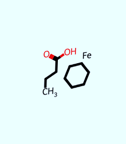 C1CCCCC1.CCCC(=O)O.[Fe]